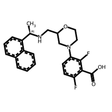 C[C@@H](NCC1CN(c2ccc(F)c(C(=O)O)c2F)CCO1)c1cccc2ccccc12